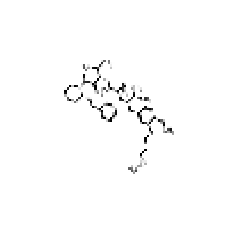 COCCCOc1cc(C[C@@H](C[C@H](N)[C@@H](O)C[C@H](C(=O)N[C@@H]2CCCC[C@H]2OCc2ccccc2)C(C)C)C(C)C)ccc1OC